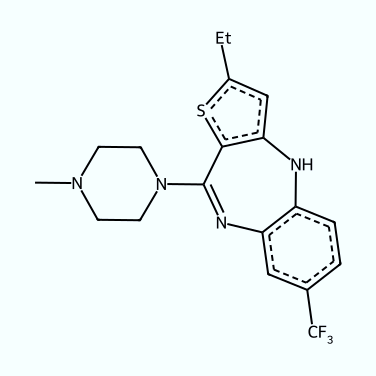 CCc1cc2c(s1)C(N1CCN(C)CC1)=Nc1cc(C(F)(F)F)ccc1N2